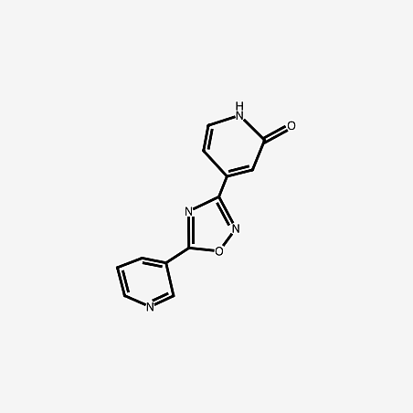 O=c1cc(-c2noc(-c3cccnc3)n2)cc[nH]1